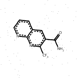 NC(=O)c1cc2cccnc2nc1C(F)(F)F